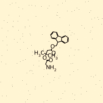 CC(C)(CC(=O)OCC1c2ccccc2-c2ccccc21)OC(=O)CN